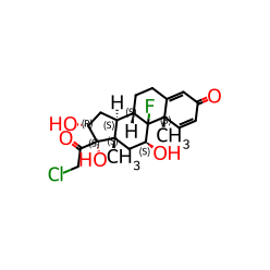 C[C@]12C=CC(=O)C=C1CC[C@H]1[C@@H]3C[C@@H](O)[C@](O)(C(=O)CCl)[C@@]3(C)C[C@H](O)C12F